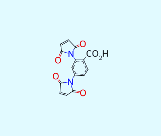 O=C(O)c1ccc(N2C(=O)C=CC2=O)cc1N1C(=O)C=CC1=O